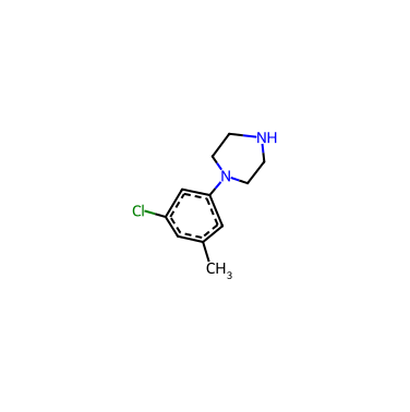 Cc1cc(Cl)cc(N2CCNCC2)c1